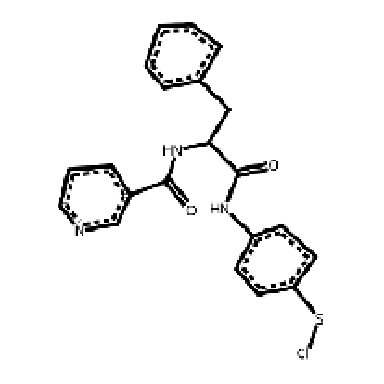 O=C(NC(Cc1ccccc1)C(=O)Nc1ccc(SCl)cc1)c1cccnc1